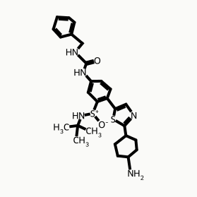 CC(C)(C)N[S+]([O-])c1cc(NC(=O)NCc2ccccc2)ccc1-c1cnc(C2CCC(N)CC2)s1